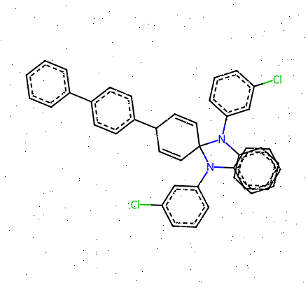 Clc1cccc(N(c2ccccc2)C2(N(c3ccccc3)c3cccc(Cl)c3)C=CC(c3ccc(-c4ccccc4)cc3)C=C2)c1